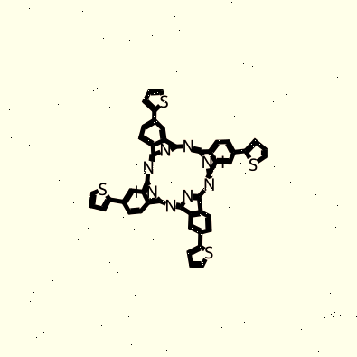 c1csc(-c2ccc3c(c2)-c2nc-3nc3[nH]c(nc4nc(nc5[nH]c(n2)c2ccc(-c6cccs6)cc52)-c2ccc(-c5cccs5)cc2-4)c2ccc(-c4cccs4)cc32)c1